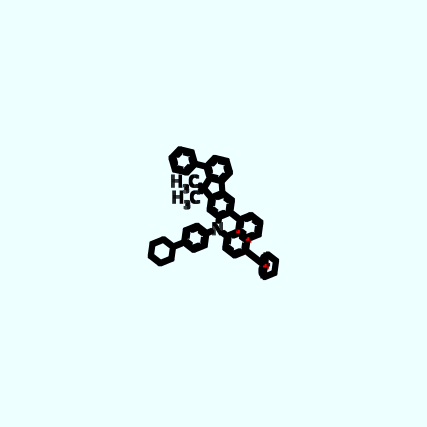 CC1(C)c2cc(N(c3ccc(C4CCCCC4)cc3)c3ccc(C4CC5CCC4CC5)cc3)c(-c3ccccc3)cc2-c2cccc(-c3ccccc3)c21